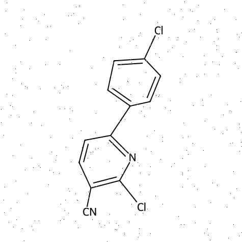 N#Cc1ccc(-c2ccc(Cl)cc2)nc1Cl